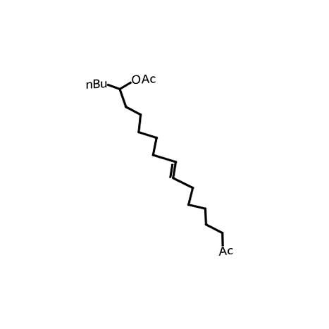 CCCCC(CCCCC/C=C/CCCCCC(C)=O)OC(C)=O